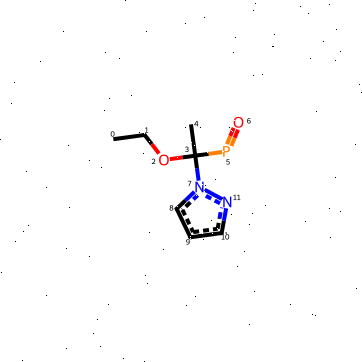 CCOC(C)(P=O)n1cc[c]n1